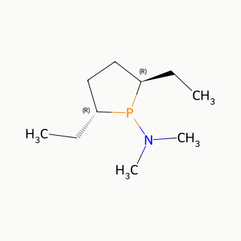 CC[C@@H]1CC[C@@H](CC)P1N(C)C